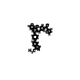 Cn1ncc2cc(-c3ccc(C4=NC5(CCOC5)C(=O)N4CC4CCN(C(=O)C5CCCO5)C4)cc3)ccc21